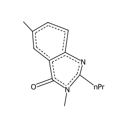 CCCc1nc2ccc(C)cc2c(=O)n1C